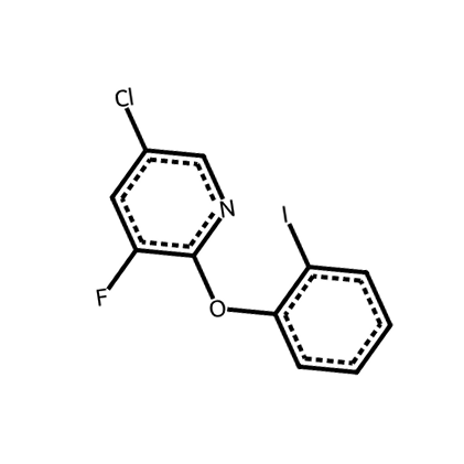 Fc1cc(Cl)cnc1Oc1ccccc1I